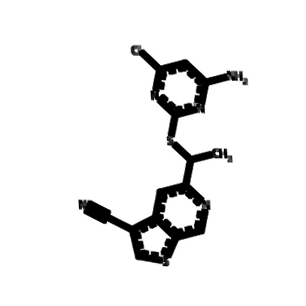 CC(Sc1nc(N)cc(Cl)n1)c1cc2c(C#N)csc2cn1